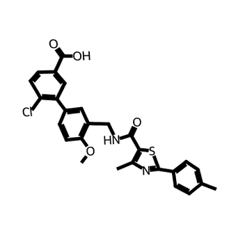 COc1ccc(-c2cc(C(=O)O)ccc2Cl)cc1CNC(=O)c1sc(-c2ccc(C)cc2)nc1C